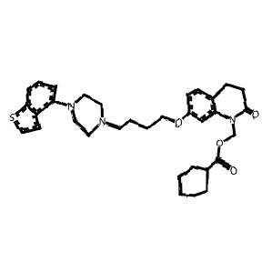 O=C(OCN1C(=O)CCc2ccc(OCCCCN3CCN(c4cccc5sccc45)CC3)cc21)C1CCCCC1